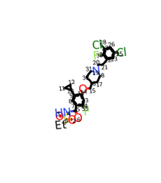 CCS(=O)(=O)NC(=O)c1cc(C2CC2)c(OCC2CCN(CCc3cc(Cl)cc(Cl)c3F)CC2)cc1F